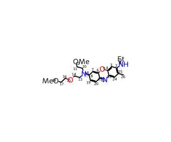 CCNc1cc2oc3c/c(=[N+](\CCOC)CCOCCOC)ccc-3nc2cc1C